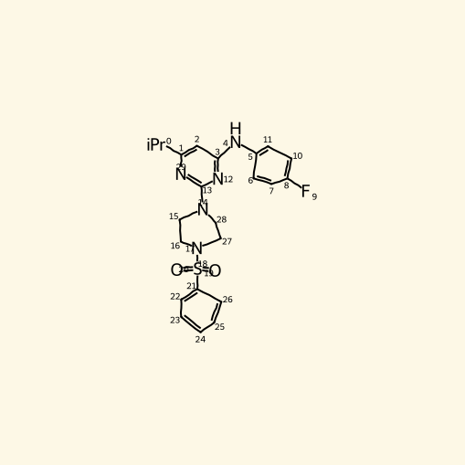 CC(C)c1cc(Nc2ccc(F)cc2)nc(N2CCN(S(=O)(=O)c3ccccc3)CC2)n1